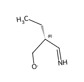 CC[C@H](C=N)C[O]